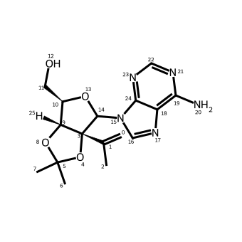 C=C(C)[C@@]12OC(C)(C)O[C@@H]1[C@@H](CO)OC2n1cnc2c(N)ncnc21